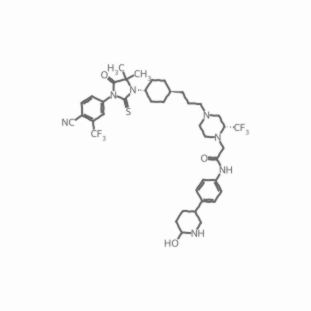 CC1(C)C(=O)N(c2ccc(C#N)c(C(F)(F)F)c2)C(=S)N1[C@H]1CC[C@H](CCCN2CCN(CC(=O)Nc3ccc(C4CCC(O)NC4)cc3)[C@@H](C(F)(F)F)C2)CC1